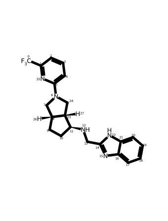 FC(F)(F)c1cccc(N2C[C@H]3CC[C@H](NCc4nc5ccccc5[nH]4)[C@H]3C2)n1